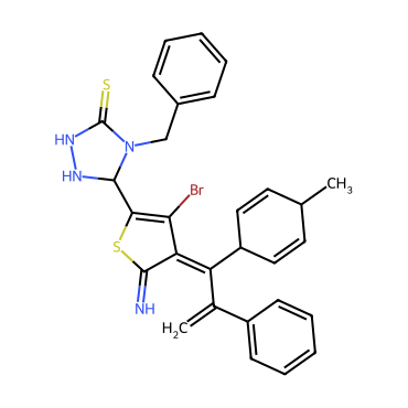 C=C(/C(=C1\C(=N)SC(C2NNC(=S)N2Cc2ccccc2)=C1Br)C1C=CC(C)C=C1)c1ccccc1